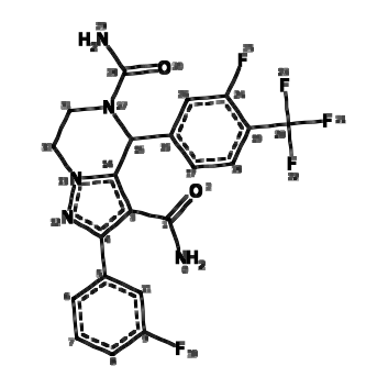 NC(=O)c1c(-c2cccc(F)c2)nn2c1C(c1ccc(C(F)(F)F)c(F)c1)N(C(N)=O)CC2